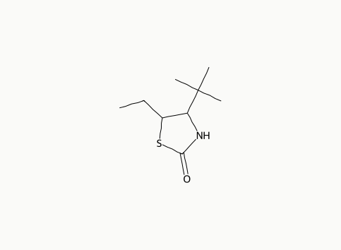 CCC1SC(=O)NC1C(C)(C)C